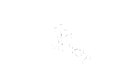 COC(=O)c1cnc(N2CC(NC(=O)OC(C)(C)C)C(c3cc(F)c(F)cc3F)C2)cn1